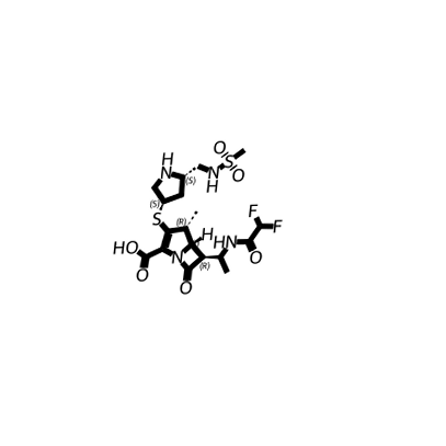 CC(NC(=O)C(F)F)[C@H]1C(=O)N2C(C(=O)O)=C(S[C@@H]3CN[C@H](CNS(C)(=O)=O)C3)[C@H](C)[C@H]12